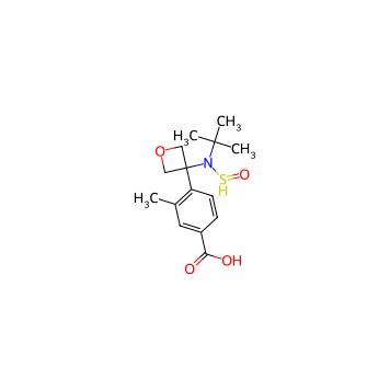 Cc1cc(C(=O)O)ccc1C1(N([SH]=O)C(C)(C)C)COC1